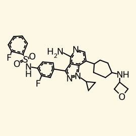 Nc1ncc(C2CCC(NC3COC3)CC2)c2c1c(-c1ccc(NS(=O)(=O)c3ccccc3F)c(F)c1)nn2C1CC1